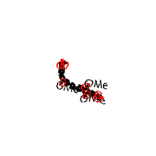 COCOC1(c2ccc(-c3ccc(-c4ccc(C5(OCOC)CCC(OCOC)(c6ccc(B7OC(C)(C)C(C)(C)O7)cc6)CC5)cc4)cc3)cc2)CCC(C)(c2ccc(B3OC(C)(C)C(C)(C)O3)cc2)CC1